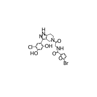 O=C(NCC(=O)N1CCc2[nH]nc(-c3cc(Cl)c(O)cc3O)c2C1)c1ccc(Br)o1